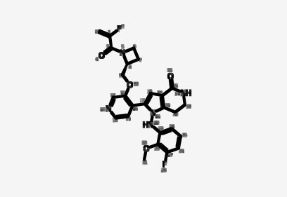 C=C(F)C(=O)N1CC[C@H]1COc1cnccc1-c1cc2c(n1Nc1cccc(F)c1OC)CCNC2=O